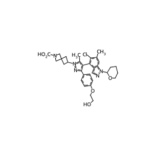 Cc1cc2c(cnn2C2CCCCO2)c(-c2c(-c3ccc(OCCO)cc3)nn(C3CC4(C3)CN(C(=O)O)C4)c2C)c1Cl